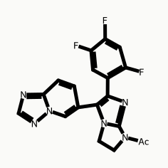 CC(=O)N1CCn2c1nc(-c1cc(F)c(F)cc1F)c2-c1ccc2ncnn2c1